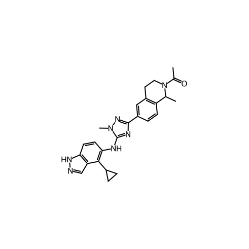 CC(=O)N1CCc2cc(-c3nc(Nc4ccc5[nH]ncc5c4C4CC4)n(C)n3)ccc2C1C